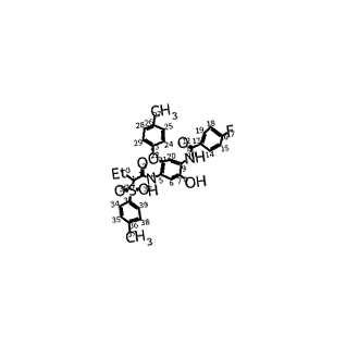 CCC(C(=O)Nc1cc(O)c(NC(=O)c2ccc(F)cc2)cc1Oc1ccc(C)cc1)S(=O)(=O)c1ccc(C)cc1